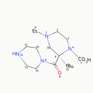 CCN1CCN(C(=O)O)[C@](C(=O)N2CCNCC2)(C(C)(C)C)C1